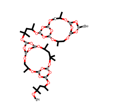 CC(C)OC(C)(C)CC(C)OB1OB2OB(O1)OC(C)(C)CC(C)OB1OB(OCC(C)O2)OB(OC(C)(C)CC(C)OB2OB3OCC(C)OB4OB(OCC(C)OB(O3)O2)OB(C(C)(C)C)O4)O1